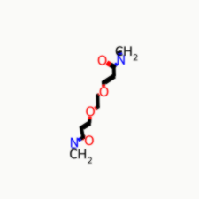 C=NC(=O)C=COCCOC=CC(=O)N=C